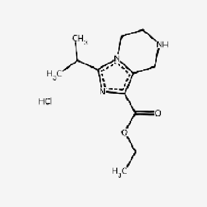 CCOC(=O)c1nc(C(C)C)n2c1CNCC2.Cl